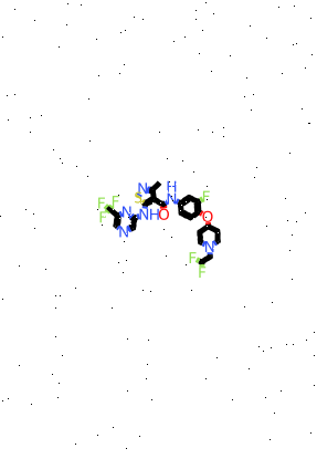 Cc1nsc(Nc2cncc(C(F)(F)F)n2)c1C(=O)Nc1ccc(OC2CCN(CC(F)F)CC2)c(F)c1